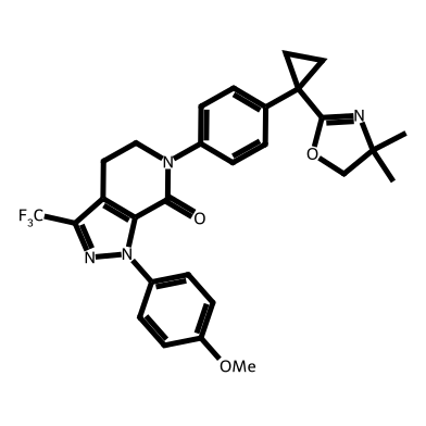 COc1ccc(-n2nc(C(F)(F)F)c3c2C(=O)N(c2ccc(C4(C5=NC(C)(C)CO5)CC4)cc2)CC3)cc1